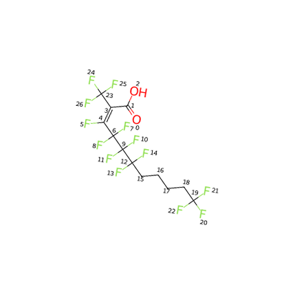 O=C(O)C(=C(F)C(F)(F)C(F)(F)C(F)(F)CCCCC(F)(F)F)C(F)(F)F